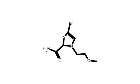 COCCN1C=C(Br)SC1C(N)=O